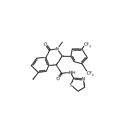 Cc1ccc2c(c1)C(C(=O)NC1=NCCS1)C(c1cc(C(F)(F)F)cc(C(F)(F)F)c1)N(C)C2=O